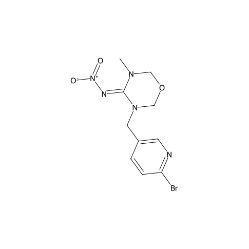 CN1COCN(Cc2ccc(Br)nc2)C1=N[N+](=O)[O-]